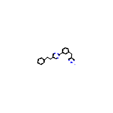 Cn1cc(Cc2cccc(-c3ncc(CCc4ccccc4)cn3)c2)cn1